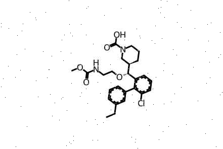 CCc1cccc(-c2c(Cl)cccc2[C@H](OCCNC(=O)OC)[C@@H]2CCCN(C(=O)O)C2)c1